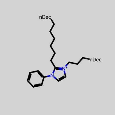 CCCCCCCCCCCCCCCCc1n(-c2ccccc2)cc[n+]1CCCCCCCCCCCCC